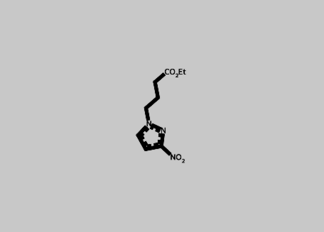 CCOC(=O)CCCn1ccc([N+](=O)[O-])n1